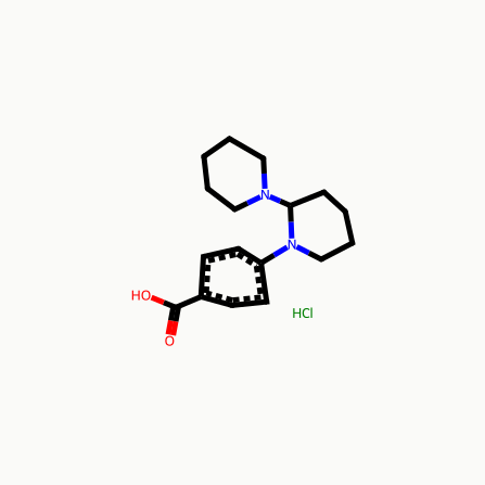 Cl.O=C(O)c1ccc(N2CCCCC2N2CCCCC2)cc1